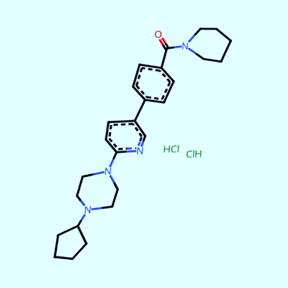 Cl.Cl.O=C(c1ccc(-c2ccc(N3CCN(C4CCCC4)CC3)nc2)cc1)N1CCCCC1